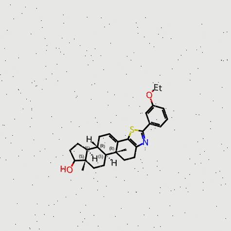 CCOc1cccc(-c2nc3c(s2)C2=CC[C@@H]4[C@H](CC[C@]5(C)C(O)CC[C@@H]45)[C@@]2(C)CC3)c1